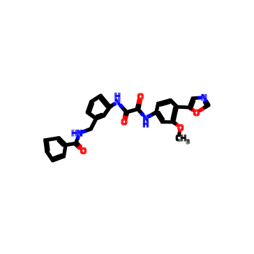 COc1cc(NC(=O)C(=O)Nc2cccc(CNC(=O)c3ccccc3)c2)ccc1-c1cnco1